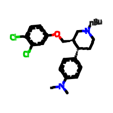 CCCCN1CC[C@H](c2ccc(N(C)C)cc2)[C@@H](COc2ccc(Cl)c(Cl)c2)C1